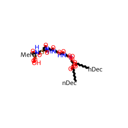 CCCCCCCCCCCCCCCCCC(=O)OC[C@H](COP(C)(=O)OCCNC(=O)COCCNC(=O)CCN1C(=O)CC(SCC(=O)N[C@@H](CSOOO)C(=O)NC)C1=O)OC(=O)CCCCCCCCCCCCCCCCC